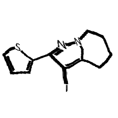 Ic1c(-c2cccs2)nn2c1CCCC2